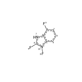 Fc1cccc2c1[nH]c(F)[n+]2F